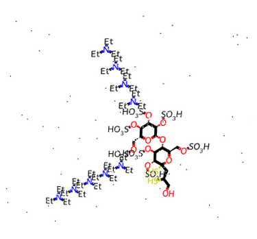 CCN(CC)CC.CCN(CC)CC.CCN(CC)CC.CCN(CC)CC.CCN(CC)CC.CCN(CC)CC.CCN(CC)CC.CCN(CC)CC.CCN(CC)CC.O=S(=O)(O)OC[C@H]1O[C@H](O[C@H]2[C@H](OS(=O)(=O)O)[C@@H](OS(=O)(=O)O)[C@@](S)(CC(S)CO)O[C@@H]2COS(=O)(=O)O)[C@H](OS(=O)(=O)O)[C@@H](OS(=O)(=O)O)[C@@H]1OS(=O)(=O)O